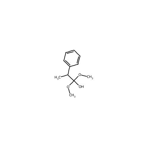 COC(O)(OC)C(C)c1ccccc1